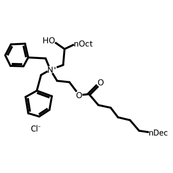 CCCCCCCCCCCCCCCC(=O)OCC[N+](Cc1ccccc1)(Cc1ccccc1)CC(O)CCCCCCCC.[Cl-]